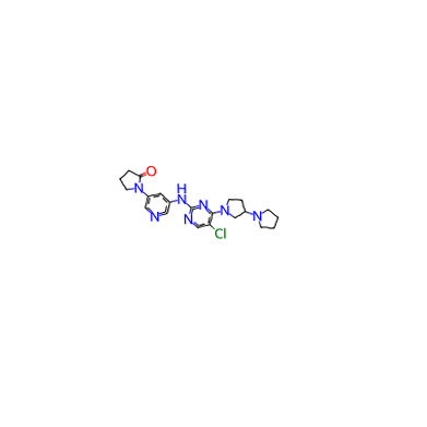 O=C1CCCN1c1cncc(Nc2ncc(Cl)c(N3CCC(N4CCCC4)C3)n2)c1